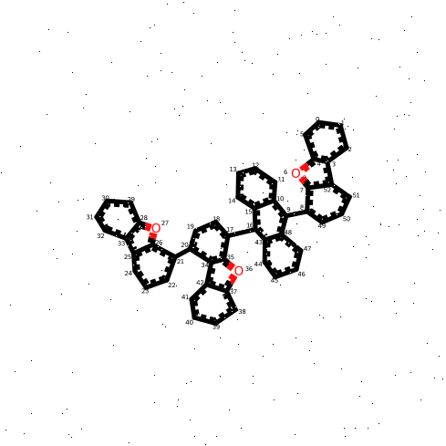 c1ccc2c(c1)oc1c(-c3c4ccccc4c(-c4ccc(-c5cccc6c5oc5ccccc56)c5c4oc4ccccc45)c4ccccc34)cccc12